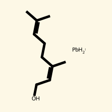 CC(C)=CCC/C(C)=C\CO.[PbH2]